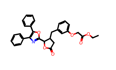 CCOC(=O)COc1cccc(CC2CC(=O)OC2c2nc(-c3ccccc3)c(-c3ccccc3)o2)c1